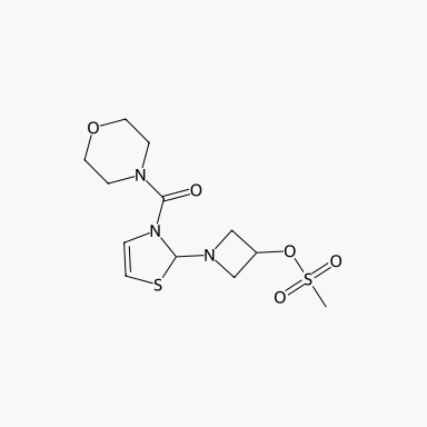 CS(=O)(=O)OC1CN(C2SC=CN2C(=O)N2CCOCC2)C1